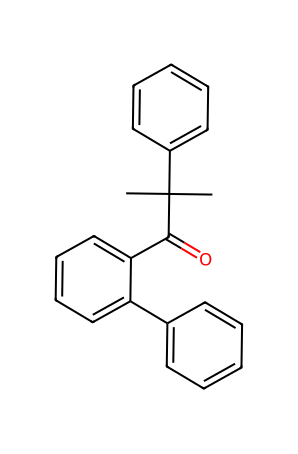 CC(C)(C(=O)c1ccccc1-c1ccccc1)c1ccccc1